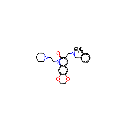 CN(Cc1ccccc1C(F)(F)F)Cc1cc2cc3c(cc2n(CCN2CCCCC2)c1=O)OCCO3